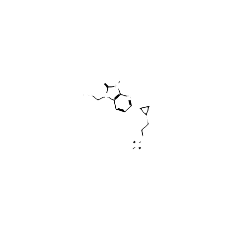 Cn1c(=O)n(CC(C)(C)C)c2ccc([C@@H]3C[C@H]3CCOS(C)(=O)=O)nc21